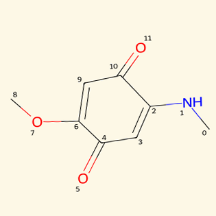 CNC1=CC(=O)C(OC)=CC1=O